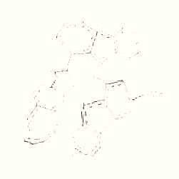 CSc1cc2c3c(c1)c1ccccc1n3-c1c3c(cc4oc5ccccc5c14)-c1cccc4c5ccccc5n(c14)B32